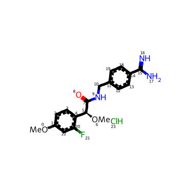 COc1ccc([C@H](OC)C(=O)NCc2ccc(C(=N)N)cc2)c(F)c1.Cl